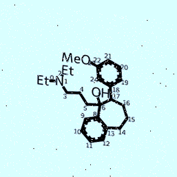 CCN(CC)CCCC1(O)c2ccccc2CCCC1c1cccc(OC)c1